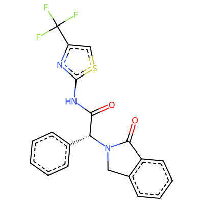 O=C(Nc1nc(C(F)(F)F)cs1)[C@@H](c1ccccc1)N1Cc2ccccc2C1=O